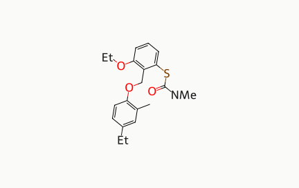 CCOc1cccc(SC(=O)NC)c1COc1ccc(CC)cc1C